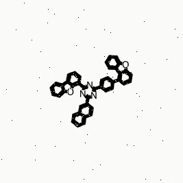 c1ccc2cc(-c3nc(-c4ccc(-c5cccc6oc7ccccc7c56)cc4)nc(-c4cccc5c4oc4ccccc45)n3)ccc2c1